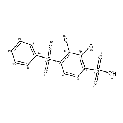 O=S(=O)(O)c1ccc(S(=O)(=O)c2ccccc2)c(Cl)c1Cl